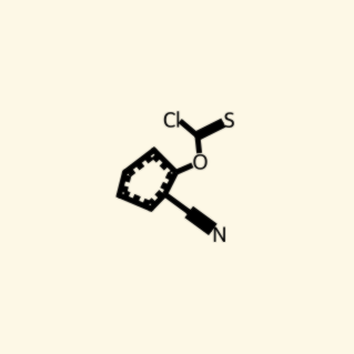 N#Cc1ccccc1OC(=S)Cl